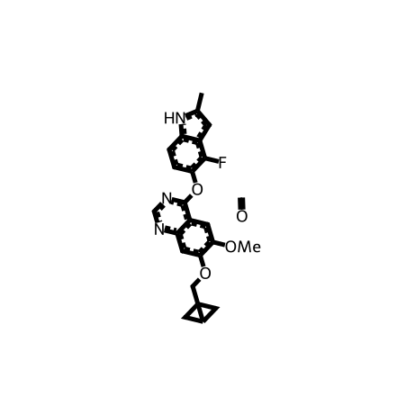 C=O.COc1cc2c(Oc3ccc4[nH]c(C)cc4c3F)ncnc2cc1OCC12CC1C2